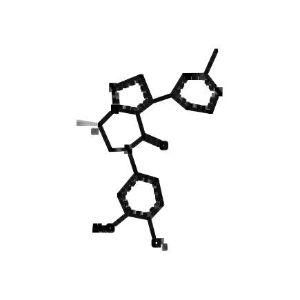 COc1cc(N2C[C@H](C)n3ncc(-c4ccnc(C)c4)c3C2=O)ccc1C(F)(F)F